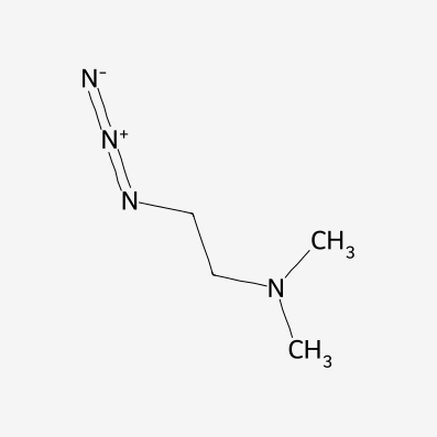 CN(C)CCN=[N+]=[N-]